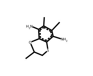 Cc1c(C)c(N)c2c(c1N)OC(C)CS2